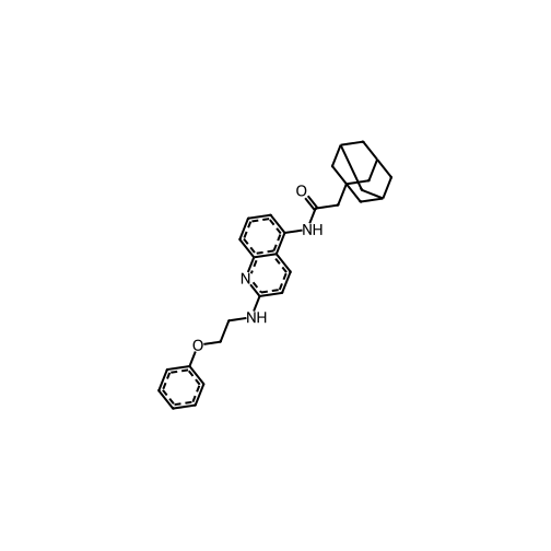 O=C(CC12CC3CC(CC(C3)C1)C2)Nc1cccc2nc(NCCOc3ccccc3)ccc12